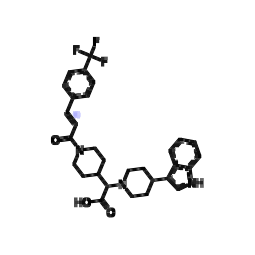 O=C(O)C(C1CCN(C(=O)/C=C/c2ccc(C(F)(F)F)cc2)CC1)N1CCC(c2c[nH]c3ccccc23)CC1